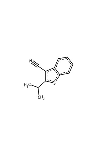 CC(C)c1sc2ccccc2c1C#N